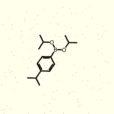 CC(C)OB(OC(C)C)c1ccc(C(C)C)cc1